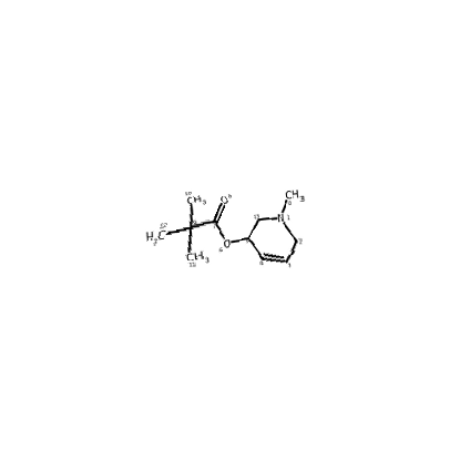 CN1CC=CC(OC(=O)C(C)(C)C)C1